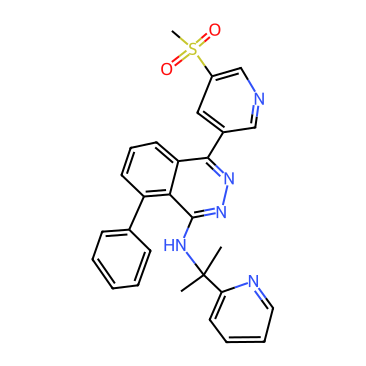 CC(C)(Nc1nnc(-c2cncc(S(C)(=O)=O)c2)c2cccc(-c3ccccc3)c12)c1ccccn1